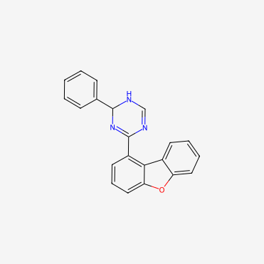 C1=NC(c2cccc3oc4ccccc4c23)=NC(c2ccccc2)N1